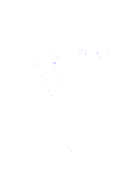 N#Cc1cccc(C2CCN(c3nc(NC4CC4)n4ncc(/C=C5\NC(=O)NC5=O)c4n3)CC2)c1